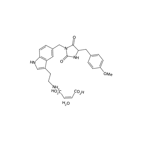 COc1ccc(CC2NC(=O)N(Cc3ccc4[nH]cc(CCN)c4c3)C2=O)cc1.O.O=C(O)/C=C\C(=O)O